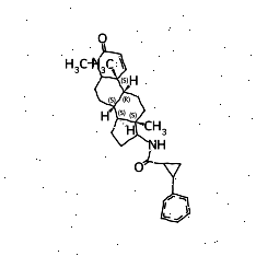 CN1C(=O)C=C[C@@]2(C)C1CC[C@@H]1[C@H]2CC[C@]2(C)C(NC(=O)C3CC3c3ccccc3)CC[C@@H]12